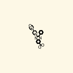 COC(=O)c1ccc2nc(N3CCC(N4CCOCC4)CC3)c(-c3ccccc3)nc2c1